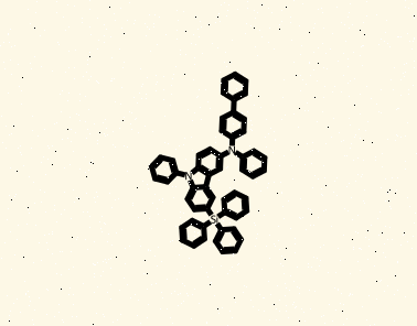 c1ccc(-c2ccc(N(c3ccccc3)c3ccc4c(c3)c3cc([Si](c5ccccc5)(c5ccccc5)c5ccccc5)ccc3n4-c3ccccc3)cc2)cc1